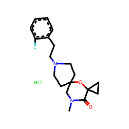 CN1CC2(CCN(CCc3ccccc3F)CC2)OC2(CC2)C1=O.Cl